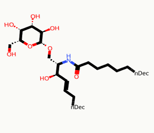 CCCCCCCCCCC/C=C/[C@@H](O)[C@H](CO[C@@H]1O[C@H](CO)[C@H](O)[C@H](O)[C@H]1O)NC(=O)CCCCCCCCCCCCCCC